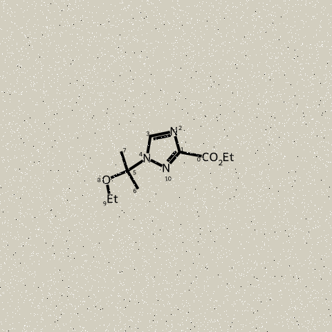 CCOC(=O)c1ncn(C(C)(C)OCC)n1